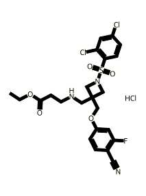 CCOC(=O)CCNCC1(COc2ccc(C#N)c(F)c2)CN(S(=O)(=O)c2ccc(Cl)cc2Cl)C1.Cl